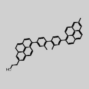 Cc1cc2ccc3ccc(-c4ccc(-c5ccc(-c6ccc7c8c9c(ccc68)=CC(CCO)=CC9CC=7)cc5C)c(C)c4)c4ccc(c1)c2c34